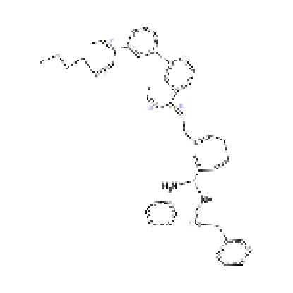 C/C=C\C(=C/CC1=CCC=CC(C(N)N/C(=N\Cc2ccccc2)c2ccccc2)=C1)c1cccc(-c2cccc(C(/C=C\CCC(C)C)=C/C)c2)c1